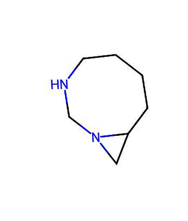 C1CCC2CN2CNC1